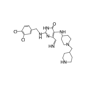 N=Cc1nc(NCc2ccc(Cl)c(Cl)c2)[nH]c(=O)c1NC1CCN(CC2CCNCC2)CC1